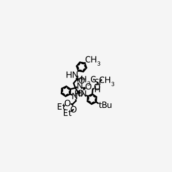 CCOC(CN1C(=O)C(CC(=O)Nc2ccc(C)cc2)(NC(=O)Nc2ccc(C(C)(C)C)cc2CO[SiH](C)C)c2ccccc21)OCC